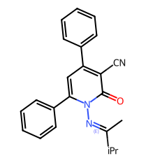 C/C(=N\n1c(-c2ccccc2)cc(-c2ccccc2)c(C#N)c1=O)C(C)C